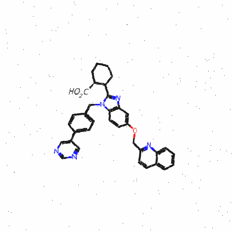 O=C(O)[C@H]1CCCCC1c1nc2cc(OCc3ccc4ccccc4n3)ccc2n1Cc1ccc(-c2cncnc2)cc1